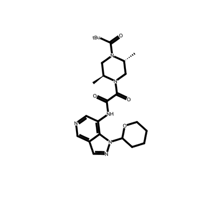 C[C@@H]1CN(C(=O)C(=O)Nc2cncc3cnn(C4CCCCO4)c23)[C@@H](C)CN1C(=O)C(C)(C)C